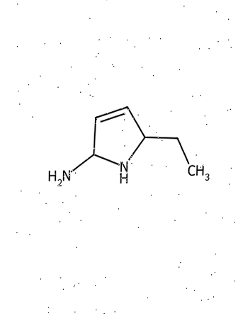 CCC1C=CC(N)N1